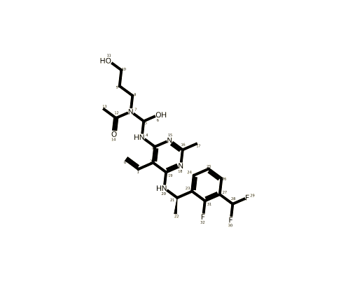 C=Cc1c(NC(O)N(CCCO)C(C)=O)nc(C)nc1N[C@H](C)c1cccc(C(F)F)c1F